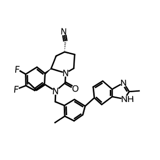 CCCN(Cc1cc(-c2ccc3nc(C)[nH]c3c2)ccc1C)C(=O)N1CC[C@@H](C#N)C[C@@H]1c1ccc(F)c(F)c1